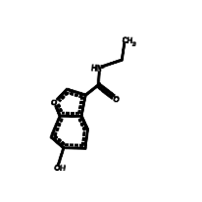 CCNC(=O)c1coc2cc(O)ccc12